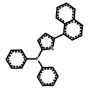 c1ccc(P(c2ccccc2)c2ccc(-c3cccc4ccccc34)s2)cc1